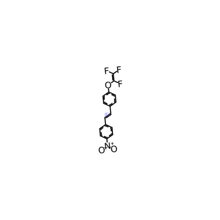 O=[N+]([O-])c1ccc(/C=C/c2ccc(OC(F)=C(F)F)cc2)cc1